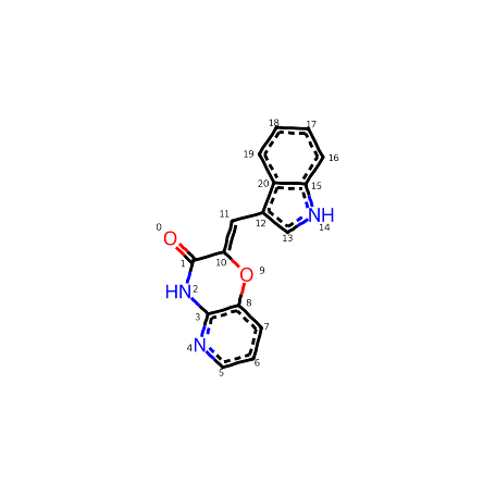 O=C1Nc2ncccc2OC1=Cc1c[nH]c2ccccc12